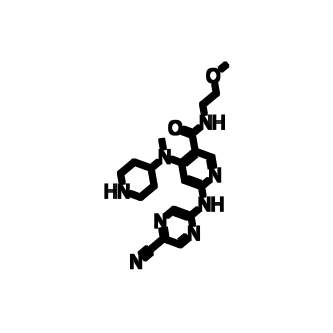 COCCNC(=O)c1cnc(Nc2cnc(C#N)cn2)cc1N(C)C1CCNCC1